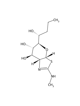 CCC[C@@H](O)[C@H]1O[C@@H]2SC(NC)=N[C@@H]2[C@@H](O)[C@@H]1O